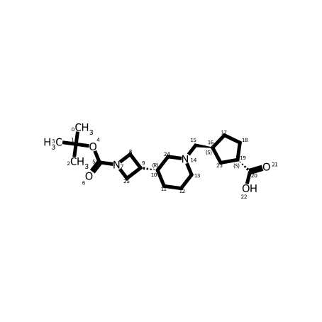 CC(C)(C)OC(=O)N1CC([C@H]2CCCN(C[C@H]3CC[C@H](C(=O)O)C3)C2)C1